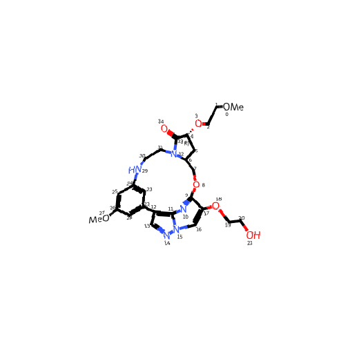 COCCO[C@@H]1CC2COc3nc4c(cnn4cc3OCCO)-c3cc(cc(OC)c3)NCCN2C1=O